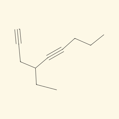 [C]#CCC(C#CCCC)CC